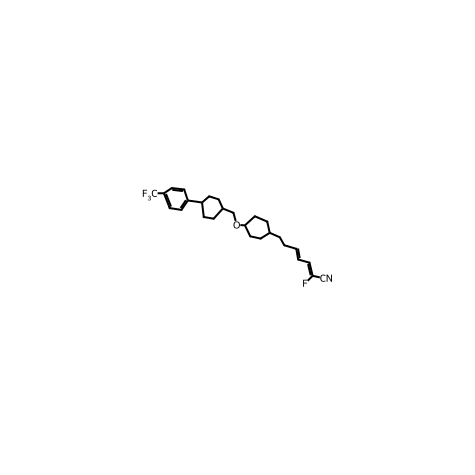 N#CC(F)=CC=CCCC1CCC(OCC2CCC(c3ccc(C(F)(F)F)cc3)CC2)CC1